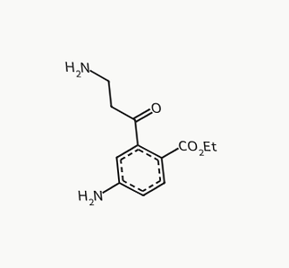 CCOC(=O)c1ccc(N)cc1C(=O)CCN